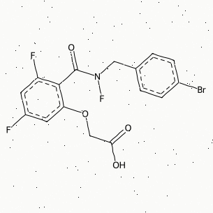 O=C(O)COc1cc(F)cc(F)c1C(=O)N(F)Cc1ccc(Br)cc1